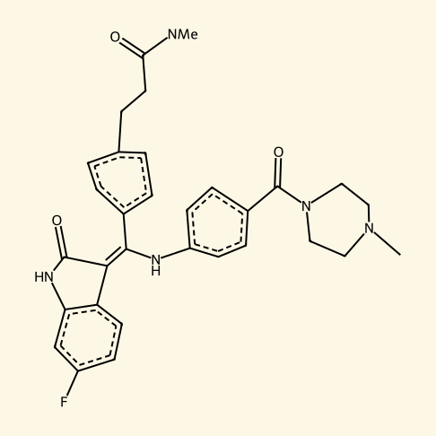 CNC(=O)CCc1ccc(C(Nc2ccc(C(=O)N3CCN(C)CC3)cc2)=C2C(=O)Nc3cc(F)ccc32)cc1